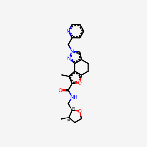 Cc1c(C(=O)NC[C@H]2OCC[C@H]2C)oc2c1-c1nn(Cc3ccccn3)cc1CC2